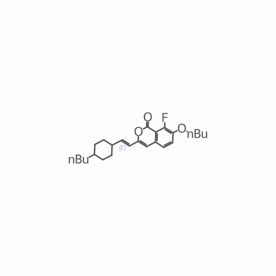 CCCCOc1ccc2cc(/C=C/C3CCC(CCCC)CC3)oc(=O)c2c1F